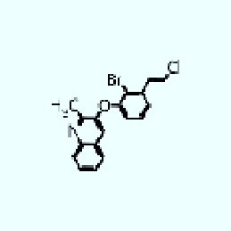 Cc1nc2ccccc2cc1Oc1cccc(CCCl)c1Br